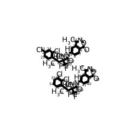 Cc1noc(=O)c2ccc(NC(=O)C(O)(CC(C)(C)c3ccc(Cl)cc3Cl)C(F)(F)F)cc12.Cc1noc(=O)c2ccc(NC(=O)C(O)(CC(C)(C)c3cccc(Cl)c3Cl)C(F)(F)F)cc12